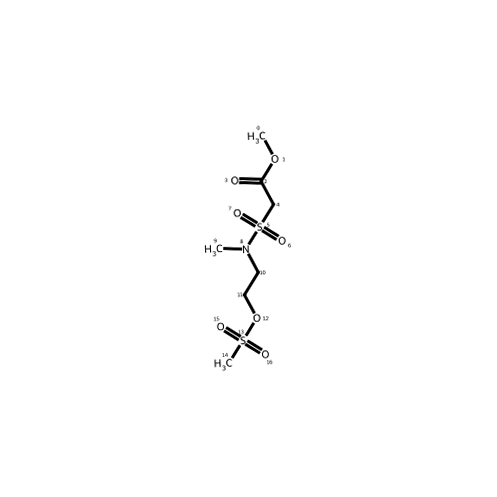 COC(=O)CS(=O)(=O)N(C)CCOS(C)(=O)=O